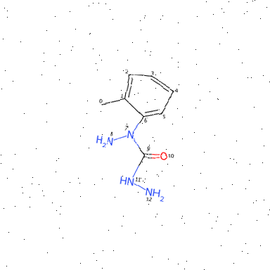 Cc1ccccc1N(N)C(=O)NN